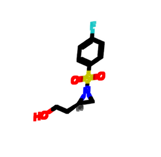 O=S(=O)(c1ccc(F)cc1)N1C[C@H]1CCO